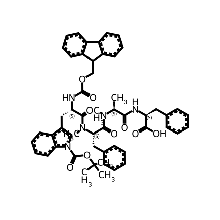 C[C@@H](C(=O)N[C@@H](Cc1ccccc1)C(=O)O)N(C)C(=O)[C@H](Cc1ccccc1)N(C)C(=O)[C@H](Cc1cn(C(=O)OC(C)(C)C)c2ccccc12)NC(=O)OCC1c2ccccc2-c2ccccc21